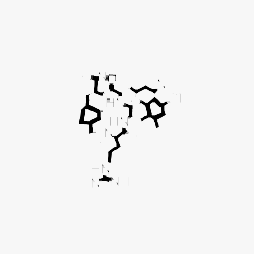 Cc1ccc(C[C@H](NC(=O)[C@H](CCCCN)NC(=O)[C@H](Cc2c(C)cc(O)cc2C)NC(=O)[C@H](N)CCCNC(=N)N)C(N)=O)cc1